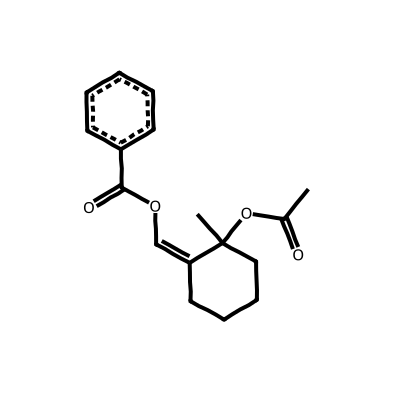 CC(=O)OC1(C)CCCCC1=COC(=O)c1ccccc1